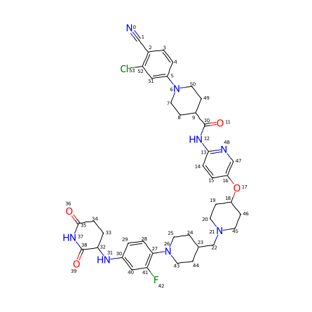 N#Cc1ccc(N2CCC(C(=O)Nc3ccc(OC4CCN(CC5CCN(c6ccc(NC7CCC(=O)NC7=O)cc6F)CC5)CC4)cn3)CC2)cc1Cl